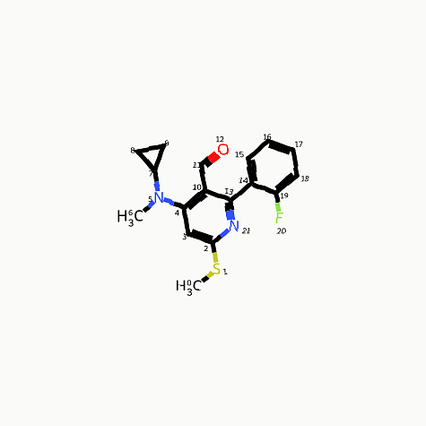 CSc1cc(N(C)C2CC2)c(C=O)c(-c2ccccc2F)n1